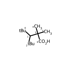 CC(C)(C)C(C(C)(C)C)C(C)(C)C(=O)O